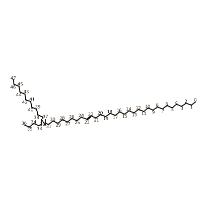 CCCCCCCCCCCCCCCCCCCCCCC=CCCCCCCCCN(CCCC)CCCCCCCCCCC